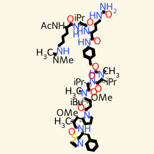 CC[C@H](C)[C@@H]([C@@H](CC(=O)N1CCC[C@H]1C(OC)[C@@H](C)C(=O)N[C@@H](Cc1ccccc1)c1nccs1)OC)N(C)C(=O)[C@@H](NC(=O)[C@H](C(C)C)N(C)C(=O)OCc1ccc(NC(=O)C(CCCNC(N)=O)NC(=O)[C@@H](NC(=O)C(CCCCNC(C)NC)NC(C)=O)C(C)C)cc1)C(C)C